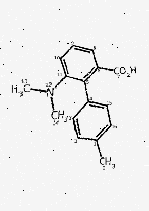 Cc1ccc(-c2c(C(=O)O)cccc2N(C)C)cc1